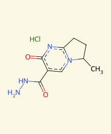 CC1CCc2nc(=O)c(C(=O)NN)cn21.Cl